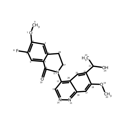 COc1cc2c(cc1F)C(=O)N(c1cnnc3cc(OC)c(C(C)O)cc13)CC2